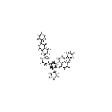 c1ccc(-c2ccc3cc(-c4cccc(-c5nc(-c6ccccc6)nc(-c6ccc(-c7ccccc7)c7ccccc67)n5)c4)ccc3c2)cc1